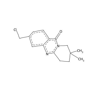 CC1(C)CCc2nc3cc(CCl)ccc3c(=O)n2C1